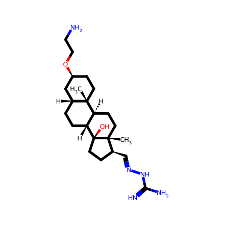 C[C@]12CC[C@H](OCCN)C[C@H]1CC[C@@H]1[C@@H]2CC[C@]2(C)[C@@H](/C=N/NC(=N)N)CC[C@]12O